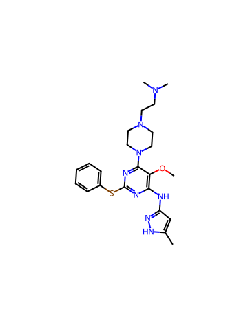 COc1c(Nc2cc(C)[nH]n2)nc(Sc2ccccc2)nc1N1CCN(CCN(C)C)CC1